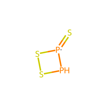 S=[P]1PSS1